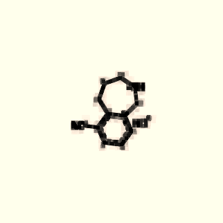 Cl.N#Cc1cccc2c1CCCNC2